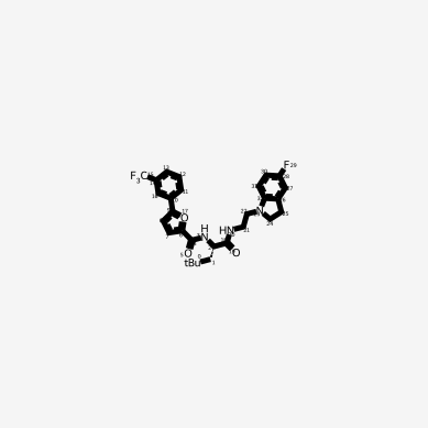 CC(C)(C)C[C@H](NC(=O)c1ccc(-c2cccc(C(F)(F)F)c2)o1)C(=O)NCCN1CCc2cc(F)ccc21